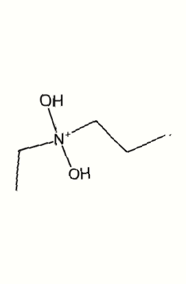 [CH2]CC[N+](O)(O)CC